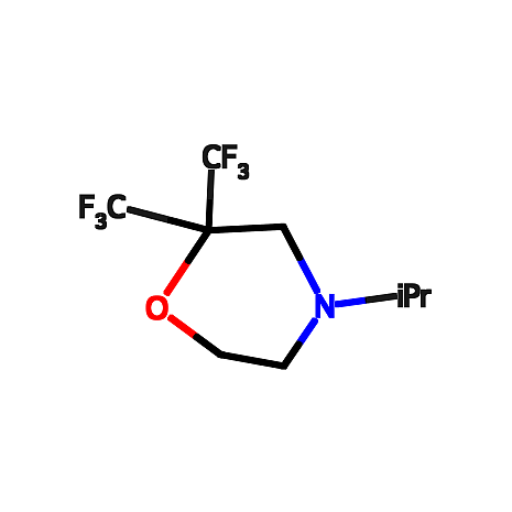 CC(C)N1CCOC(C(F)(F)F)(C(F)(F)F)C1